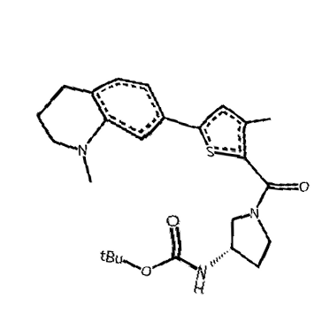 Cc1cc(-c2ccc3c(c2)N(C)CCC3)sc1C(=O)N1CC[C@H](NC(=O)OC(C)(C)C)C1